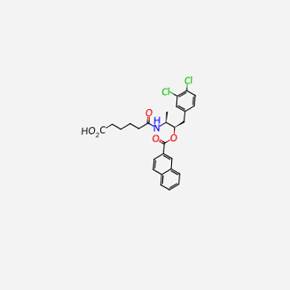 C[C@H](NC(=O)CCCCC(=O)O)[C@@H](Cc1ccc(Cl)c(Cl)c1)OC(=O)c1ccc2ccccc2c1